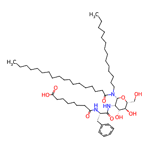 CCCCCCCCCCCCCCCCCC(=O)N(CCCCCCCCCCCCCC)[C@@H]1O[C@H](CO)[C@@H](O)[C@H](O)[C@@H]1NC(=O)[C@H](Cc1ccccc1)NC(=O)CCCCCCC(=O)O